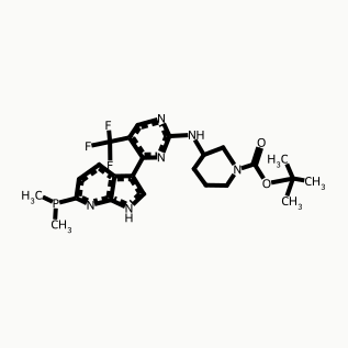 CP(C)c1ccc2c(-c3nc(NC4CCCN(C(=O)OC(C)(C)C)C4)ncc3C(F)(F)F)c[nH]c2n1